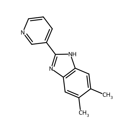 Cc1cc2nc(-c3cccnc3)[nH]c2cc1C